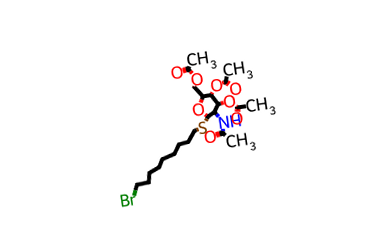 CC(=O)NC1C(SCCCCCCCCCBr)OC(COC(C)=O)C(OC(C)=O)C1OC(C)=O